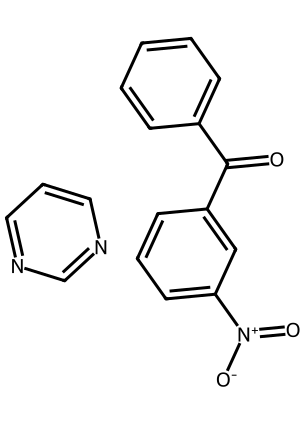 O=C(c1ccccc1)c1cccc([N+](=O)[O-])c1.c1cncnc1